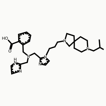 CC(C)CN1CCC2(CC1)CCN(CCCn1ccnc1CN(Cc1ncc[nH]1)Cc1ccccc1C(=O)O)C2